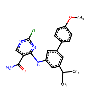 COc1ccc(-c2cc(Nc3nc(Cl)ncc3C(N)=O)cc(C(C)C)c2)cc1